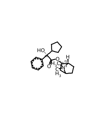 C[N+]1(C)C2CC[C@H]1[C@H](OC(=O)[C@@](O)(c1ccccc1)C1CCCC1)C2